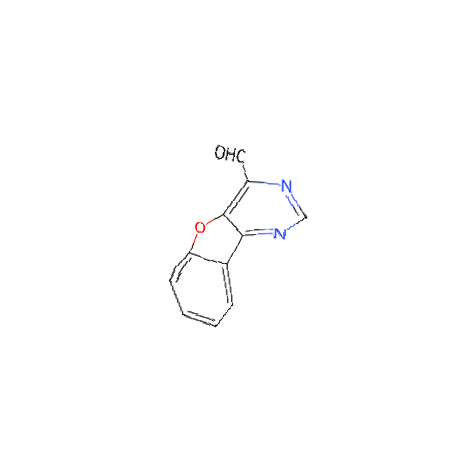 O=Cc1ncnc2c1oc1ccccc12